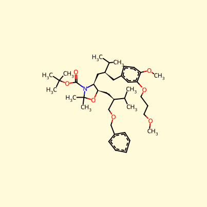 COCCCOc1cc(C[C@@H](C[C@H]2[C@@H](C[C@H](COCc3ccccc3)C(C)C)OC(C)(C)N2C(=O)OC(C)(C)C)C(C)C)ccc1OC